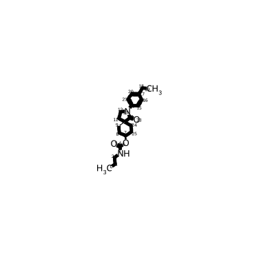 CCCNC(=O)O[C@H]1CC[C@@]2(CCN(c3ccc(CC)cc3)C2=O)CC1